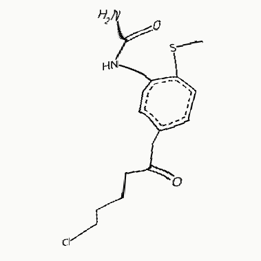 CSc1ccc(C(=O)CCCCCl)cc1NC(N)=O